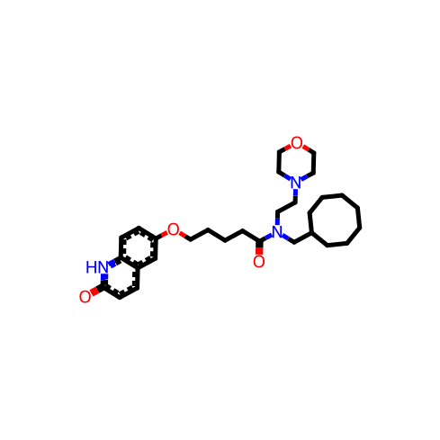 O=C(CCCCOc1ccc2[nH]c(=O)ccc2c1)N(CCN1CCOCC1)CC1CCCCCCC1